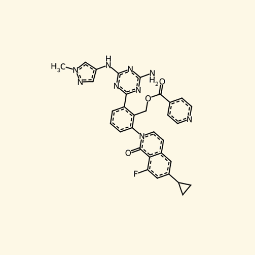 Cn1cc(Nc2nc(N)nc(-c3cccc(-n4ccc5cc(C6CC6)cc(F)c5c4=O)c3COC(=O)c3ccncc3)n2)cn1